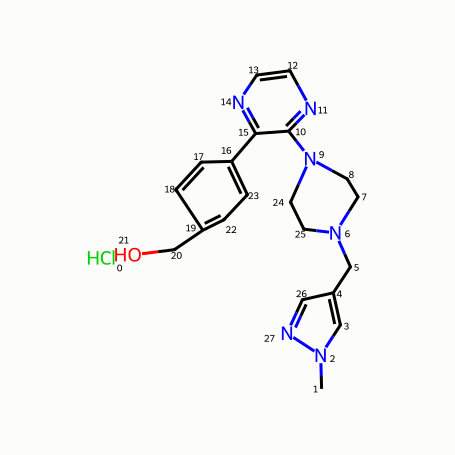 Cl.Cn1cc(CN2CCN(c3nccnc3-c3ccc(CO)cc3)CC2)cn1